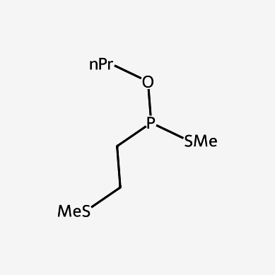 CCCOP(CCSC)SC